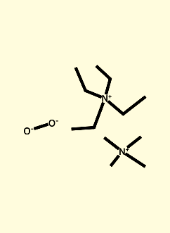 CC[N+](CC)(CC)CC.C[N+](C)(C)C.[O-][O-]